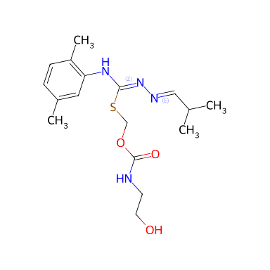 Cc1ccc(C)c(N/C(=N/N=C/C(C)C)SCOC(=O)NCCO)c1